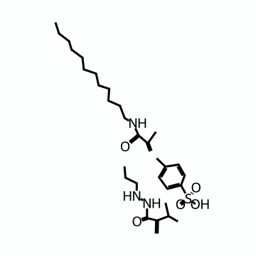 C=C(C(=O)NNCCC)C(C)C.C=C(C)C(=O)NCCCCCCCCCCCC.Cc1ccc(S(=O)(=O)O)cc1